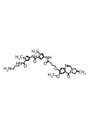 C=C1CC2C=Nc3cc(OCCCC(=O)Nc4cc(C(=O)Nc5cc(C(=O)NCCCN)n(C)c5)n(C)c4)c(OC)cc3C(=O)N2C1